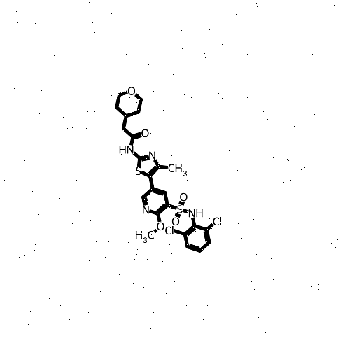 COc1ncc(-c2sc(NC(=O)CC3CCOCC3)nc2C)cc1S(=O)(=O)Nc1c(Cl)cccc1Cl